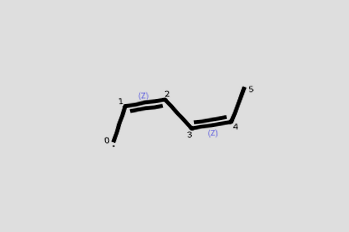 [CH2]/C=C\C=C/C